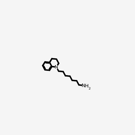 NCCCCCCCN1CCCc2ccccc21